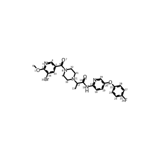 COc1ncc(C(=O)N2CCN(C(C)C(=O)Nc3ccc(Oc4ccc(F)cc4)cn3)CC2)cc1Br